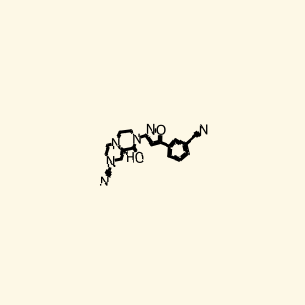 N#Cc1cccc(-c2cc(N3CCN4CCN(C#N)C[C@H]4C3=O)no2)c1